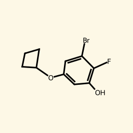 Oc1cc(OC2CCC2)cc(Br)c1F